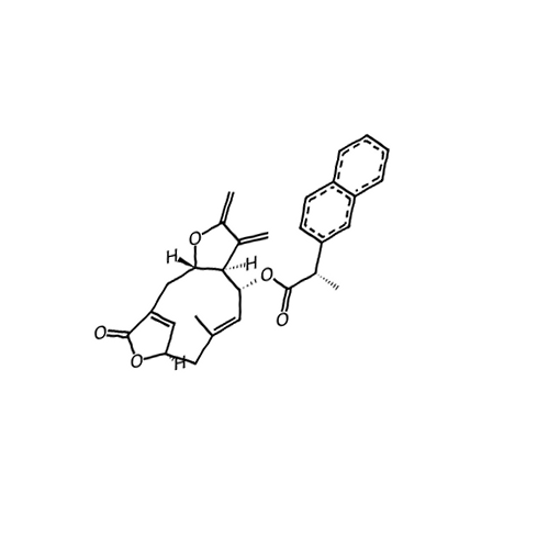 C=C1O[C@H]2CC3=C[C@@H](C/C(C)=C/[C@@H](OC(=O)[C@@H](C)c4ccc5ccccc5c4)[C@@H]2C1=C)OC3=O